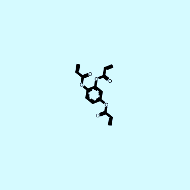 C=CC(=O)Oc1ccc(OC(=O)C=C)c(OC(=O)C=C)c1